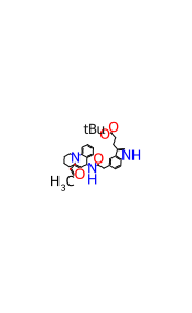 Cc1ccc(C(NC(=O)Cc2ccc3[nH]cc(CCC(=O)OC(C)(C)C)c3c2)c2ccccc2N2CCCCC2)o1